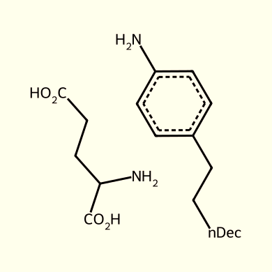 CCCCCCCCCCCCc1ccc(N)cc1.NC(CCC(=O)O)C(=O)O